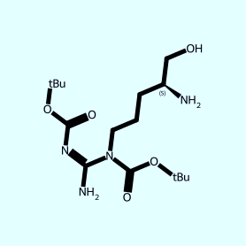 CC(C)(C)OC(=O)N=C(N)N(CCC[C@H](N)CO)C(=O)OC(C)(C)C